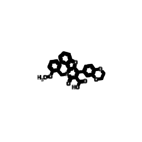 COc1ccccc1Cn1c(=O)c(C(=O)O)c(-c2ccc3c(c2)OCCO3)c2oc3ccccc3c21